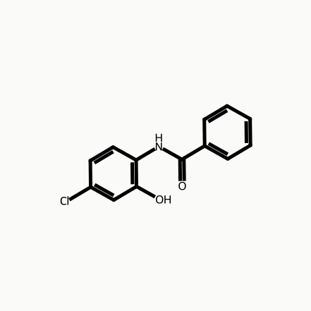 O=C(Nc1ccc(Cl)cc1O)c1ccccc1